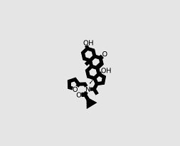 CC(C1CC[C@@]2(O)C3=CC(=O)C4CC(O)CCC4(C)C3CC[C@]12C)N(CC1CCCO1)C(=O)C1CC1